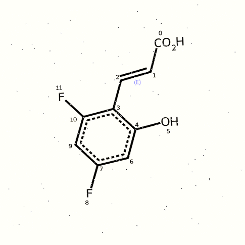 O=C(O)/C=C/c1c(O)cc(F)cc1F